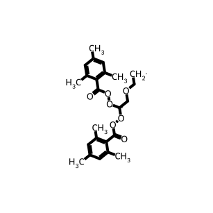 [CH2]COC[C](OOC(=O)c1c(C)cc(C)cc1C)OOC(=O)c1c(C)cc(C)cc1C